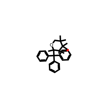 CC1(C)COC(C)(C(c2ccccc2)(c2ccccc2)c2ccccc2)C(C)(C)C1(C)C